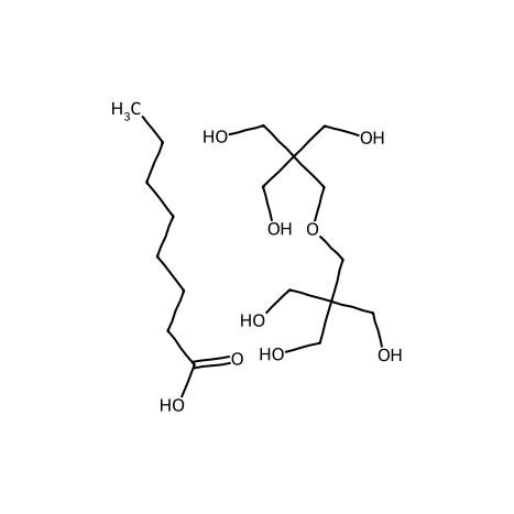 CCCCCCCC(=O)O.OCC(CO)(CO)COCC(CO)(CO)CO